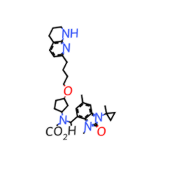 Cc1cc(C(C(=O)O)N(C)[C@H]2CC[C@H](OCCCCc3ccc4c(n3)NCCC4)C2)c2c(c1)n(C1(C)CC1)c(=O)n2C